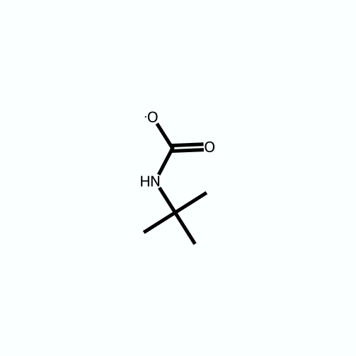 CC(C)(C)NC([O])=O